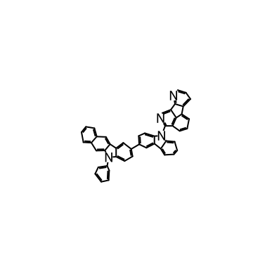 c1ccc(-n2c3ccc(-c4ccc5c(c4)c4ccccc4n5-c4ncc5c6c(cccc46)-c4cccnc4-5)cc3c3cc4ccccc4cc32)cc1